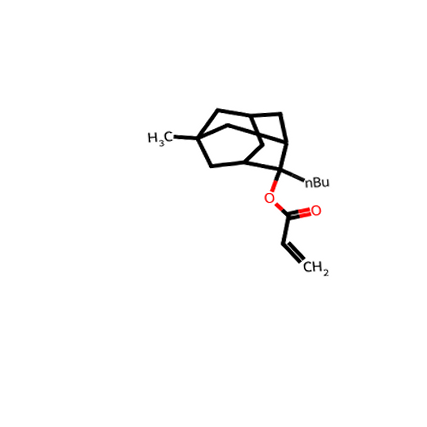 C=CC(=O)OC1(CCCC)C2CC3CC1CC(C)(C3)C2